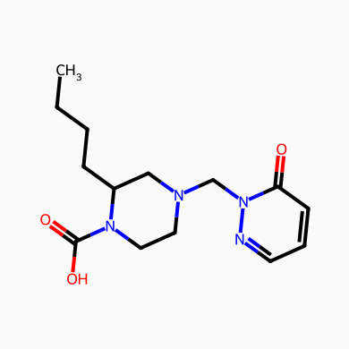 CCCCC1CN(Cn2ncccc2=O)CCN1C(=O)O